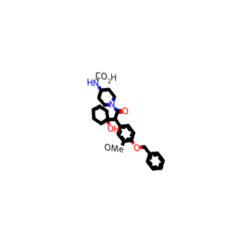 COc1cc(C(C(=O)N2CCC(NC(=O)O)CC2)C2(O)CCCCC2)ccc1OCc1ccccc1